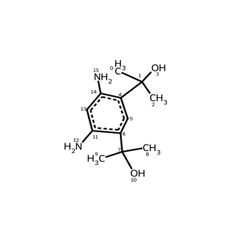 CC(C)(O)c1cc(C(C)(C)O)c(N)cc1N